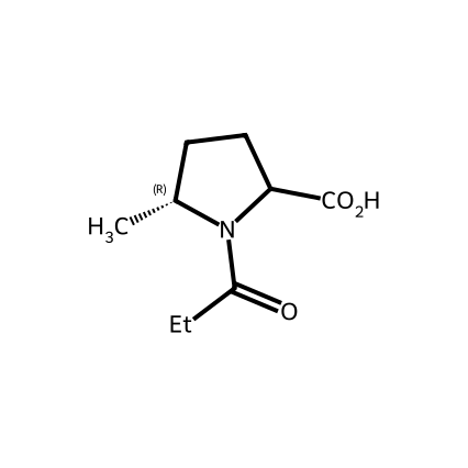 CCC(=O)N1C(C(=O)O)CC[C@H]1C